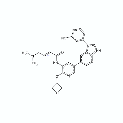 CN(C)C/C=C/C(=O)Nc1cc(-c2cnc3[nH]cc(-c4ccnc(C#N)c4)c3c2)cnc1OC1COC1